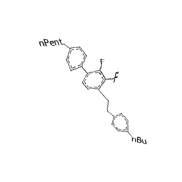 CCCCCc1ccc(-c2ccc(CCc3ccc(CCCC)cc3)c(F)c2F)cc1